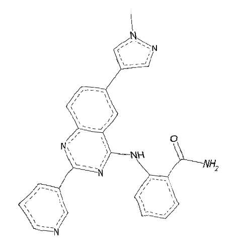 Cn1cc(-c2ccc3nc(-c4cccnc4)nc(Nc4ccccc4C(N)=O)c3c2)cn1